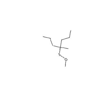 CCCC(C)(CCC)SOC